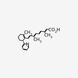 CC1=C(/C=C/C(C)=C/C=C/C(C)=C/C(=O)O)[C@@H](c2ccccn2)CCC1